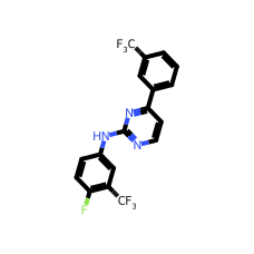 Fc1ccc(Nc2nccc(-c3cccc(C(F)(F)F)c3)n2)cc1C(F)(F)F